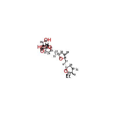 C=C1C(CC)O[C@H](CC[C@H]2O[C@H](CC[C@]34CC5OC(C(CO)O3)C(O)[C@@H]5O4)CC2C)C[C@@H]1C